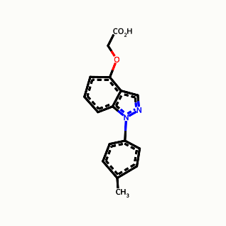 Cc1ccc(-n2ncc3c(OCC(=O)O)cccc32)cc1